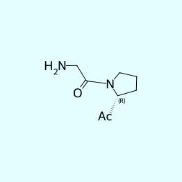 CC(=O)[C@H]1CCCN1C(=O)CN